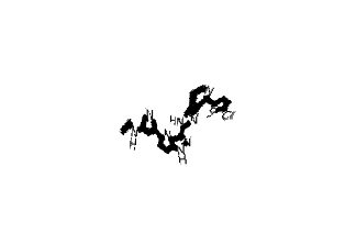 C=CNc1cncc(-c2ccc3[nH]nc(-c4nc5c(-c6ccc(Cl)s6)nccc5[nH]4)c3n2)c1